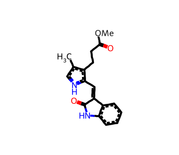 COC(=O)CCc1c(C)c[nH]c1C=C1C(=O)Nc2ccccc21